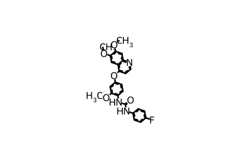 COc1cc(Oc2ccnc3cc(OC)c(OC)cc23)ccc1NC(=O)Nc1ccc(F)cc1